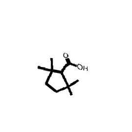 CC1(C)CCC(C)(C)C1C(=O)O